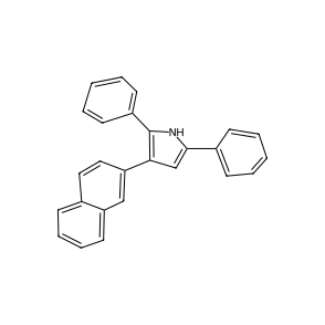 c1ccc(-c2cc(-c3ccc4ccccc4c3)c(-c3ccccc3)[nH]2)cc1